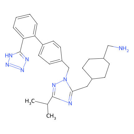 CC(C)c1nc(CC2CCC(CN)CC2)n(Cc2ccc(-c3ccccc3-c3nnn[nH]3)cc2)n1